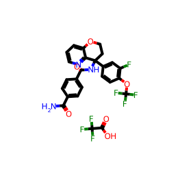 NC(=O)c1ccc(C(=O)NC2(c3ccc(OC(F)(F)F)c(F)c3)CCOc3cccnc32)cc1.O=C(O)C(F)(F)F